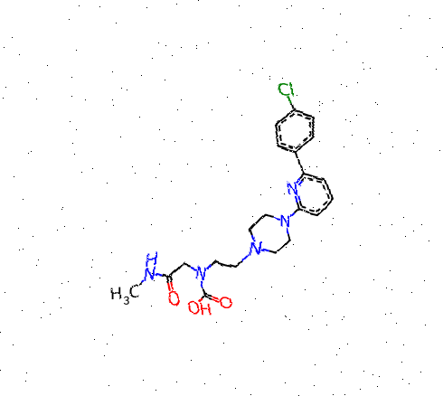 CNC(=O)CN(CCN1CCN(c2cccc(-c3ccc(Cl)cc3)n2)CC1)C(=O)O